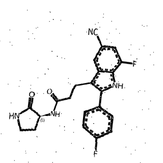 N#Cc1cc(F)c2[nH]c(-c3ccc(F)cc3)c(CCC(=O)N[C@H]3CCNC3=O)c2c1